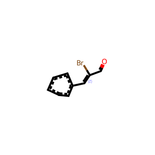 O=C/C(Br)=C/c1ccccc1